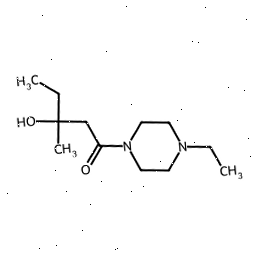 CCN1CCN(C(=O)CC(C)(O)CC)CC1